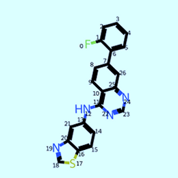 Fc1ccccc1-c1ccc2c(Nc3ccc4scnc4c3)ncnc2c1